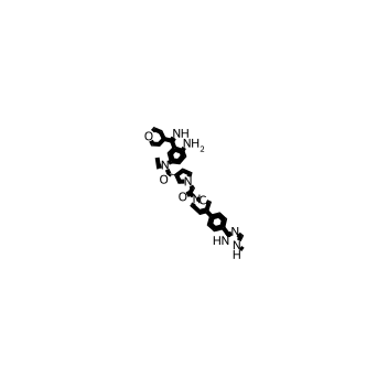 CCN(C(=O)[C@@H]1CCN(CC(=O)N2CC=C(c3ccc(C(=N)/N=C\NC)cc3)CC2)C1)c1ccc(N)c(C(=N)C2CCOCC2)c1